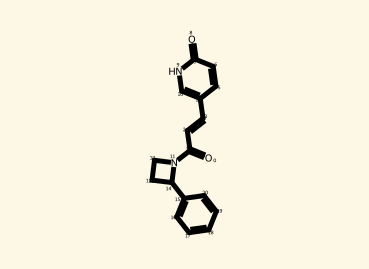 O=C(/C=C/c1ccc(=O)[nH]c1)N1CCC1c1ccccc1